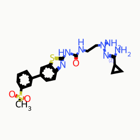 CS(=O)(=O)c1cccc(-c2ccc3nc(NC(=O)NCCN(N)/N=C(\N)C4CC4)sc3c2)c1